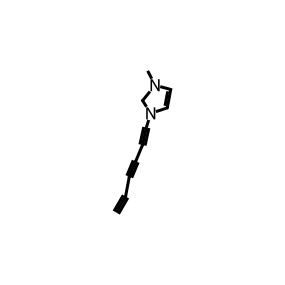 C#CC#CC#CN1C=CN(C)C1